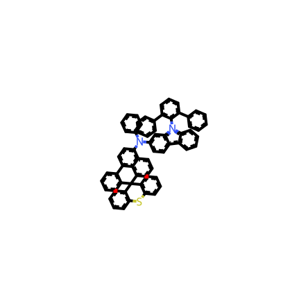 c1ccc(-c2cccc(-c3ccccc3)c2-n2c3ccccc3c3ccc(N(c4ccccc4)c4ccc5c6c(cccc46)C4(c6ccccc6Sc6ccccc64)c4ccccc4-5)cc32)cc1